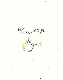 C=C(C(=O)OCC)c1sccc1Cl